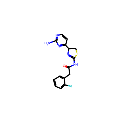 Nc1nccc(C2CSC(NC(=O)Cc3ccccc3F)=N2)n1